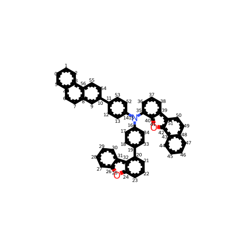 c1ccc2c(c1)ccc1cc(-c3ccc(N(c4ccc(-c5cccc6oc7ccccc7c56)cc4)c4cccc5c4oc4c6ccccc6ccc54)cc3)ccc12